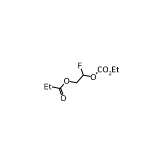 CCOC(=O)OC(F)COC(=O)CC